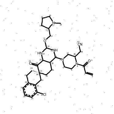 C=CC(=O)N1CCN(C2NC(OCC3CCCN3C)NC3C(=O)[C@@]4(CCc5cccc(Cl)c5C4)CCC32)CC1CC#N